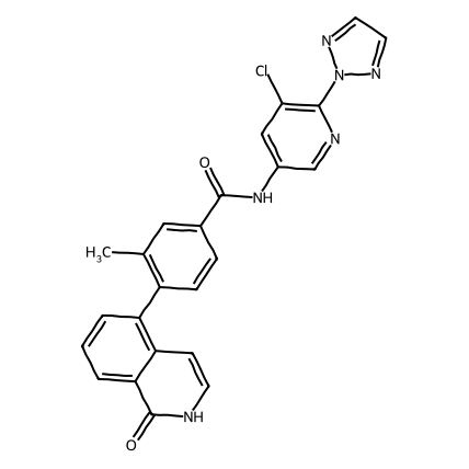 Cc1cc(C(=O)Nc2cnc(-n3nccn3)c(Cl)c2)ccc1-c1cccc2c(=O)[nH]ccc12